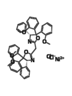 COc1ccccc1C1(c2ccccc2OC)OC(CC2=N[C@H](c3ccccc3)C(c3ccccc3OC)(c3ccccc3OC)O2)=N[C@@H]1c1ccccc1.[Cl-].[Cl-].[Ni+2]